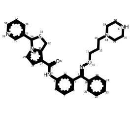 O=C(Nc1cccc(C(=NOCCCN2CCNCC2)c2ccccc2)c1)c1ccn2c1CSC2c1cccnc1